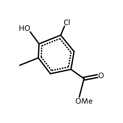 COC(=O)c1cc(C)c(O)c(Cl)c1